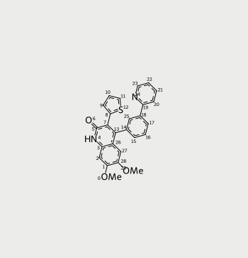 COc1cc2[nH]c(=O)c(-c3cccs3)c(-c3cccc(-c4ccccn4)c3)c2cc1OC